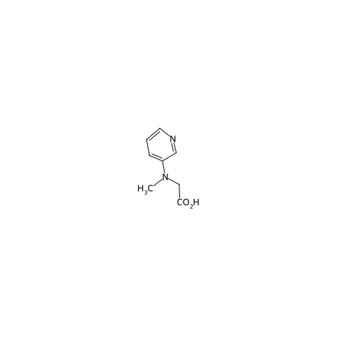 CN(CC(=O)O)c1cccnc1